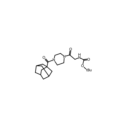 CC(C)(C)OC(=O)NCC(=O)N1CCN(C(=O)C23CC4CC(CC(C4)C2)C3)CC1